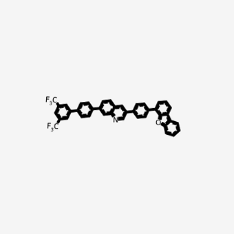 FC(F)(F)c1cc(-c2ccc(-c3ccc4cc(-c5ccc(-c6cccc7c6oc6ccccc67)cc5)cnc4c3)cc2)cc(C(F)(F)F)c1